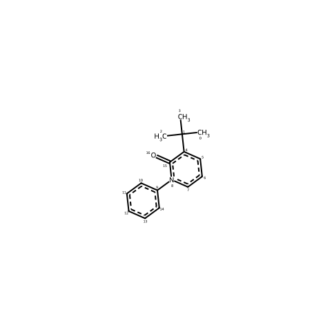 CC(C)(C)c1cccn(-c2ccccc2)c1=O